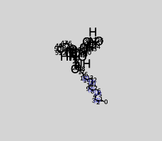 CC/C=C\C/C=C\C/C=C\C/C=C\C/C=C\CCCC(=O)NCCNP(=O)(OC[C@H]1O[C@@H](n2ccc(=O)[nH]c2=O)C[C@@H]1O)Oc1cccc2ccccc12